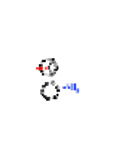 Nc1ccccc1.OC1c2cccc1c2